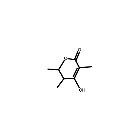 CC1=C(O)C(C)C(C)OC1=O